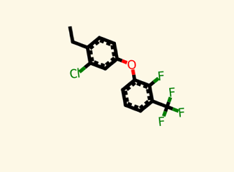 CCc1ccc(Oc2cccc(C(F)(F)F)c2F)cc1Cl